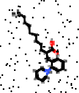 CCCCCCCCCC(Cc1ccccc1-[n+]1ccccc1)C(=O)O